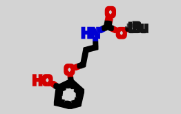 CC(C)(C)OC(=O)NCCCOc1ccccc1O